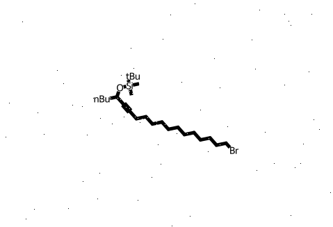 CCCCC(C#CCCCCCCCCCCCCBr)O[Si](C)(C)C(C)(C)C